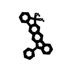 CC1(C)c2ccccc2-c2cc3cc4c(cc3cc21)c1ccccc1n4-c1ccccn1